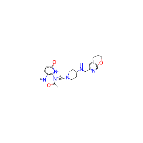 C=Nc1ccc(=O)n2c1N(C(C)=O)[C@H](CN1CCC(NCc3cc4c(cn3)OCCC4)CC1)C2